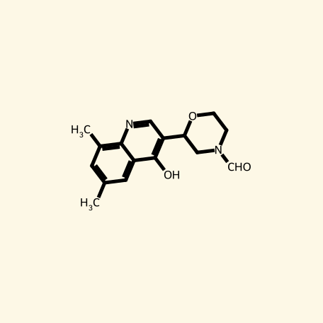 Cc1cc(C)c2ncc(C3CN(C=O)CCO3)c(O)c2c1